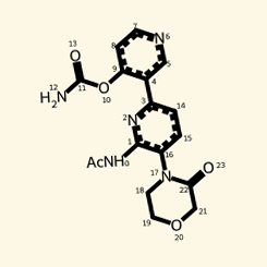 CC(=O)Nc1nc(-c2cnccc2OC(N)=O)ccc1N1CCOCC1=O